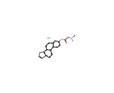 CN(C)CC(=O)Oc1ccc2c(ccc3c4c(ccc32)C=CC4)c1.Cl